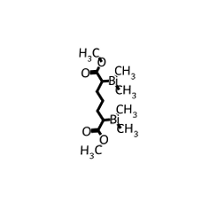 COC(=O)[CH](CCC[CH](C(=O)OC)[Bi]([CH3])[CH3])[Bi]([CH3])[CH3]